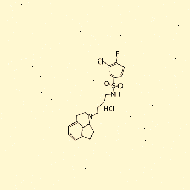 Cl.O=S(=O)(NCCCCN1CCc2cccc3c2C1CC3)c1ccc(F)c(Cl)c1